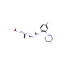 COC(=O)NCc1csc(NC(=O)Nc2ccc(C)cc2N2CCCCC2)n1